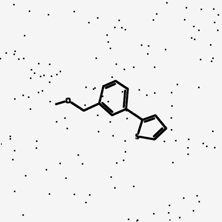 COCc1cccc(-c2cccs2)c1